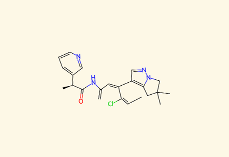 C=C(/C=C(\C(Cl)=C/C)c1cnn2c1CC(C)(C)C2)NC(=O)[C@@H](C)c1cccnc1